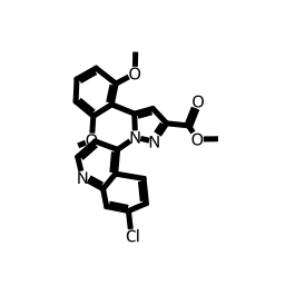 COC(=O)c1cc(-c2c(OC)cccc2OC)n(-c2ccnc3cc(Cl)ccc23)n1